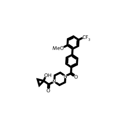 COc1ccc(C(F)(F)F)cc1-c1ccc(C(=O)N2CCN(C(=O)C3(O)CC3)CC2)cc1